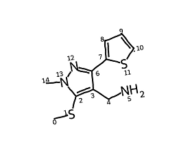 CSc1c(CN)c(-c2cc[c]s2)nn1C